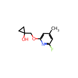 Cc1cc(F)nc(OCC2(O)CC2)c1